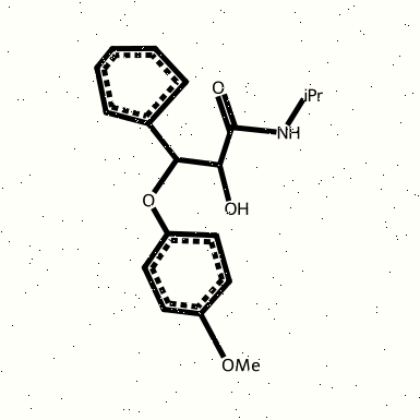 COc1ccc(OC(c2ccccc2)C(O)C(=O)NC(C)C)cc1